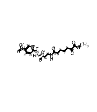 COC(=O)C(=O)CCCCC(=O)NCCS(=O)(=O)NNc1ccc([N+](=O)[O-])cn1